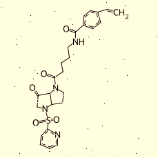 C=Cc1ccc(C(=O)NCCCCC(=O)N2CCC3C2C(=O)CN3S(=O)(=O)c2ccccn2)cc1